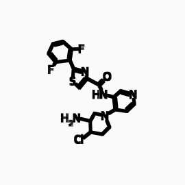 NC1CN(c2ccncc2NC(=O)c2csc(-c3c(F)cccc3F)n2)CCC1Cl